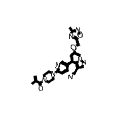 C=C(C)C(=O)N1CCN(c2ccc(-c3cc(OCc4nc(C)no4)cn4ncc(C#N)c34)cn2)CC1